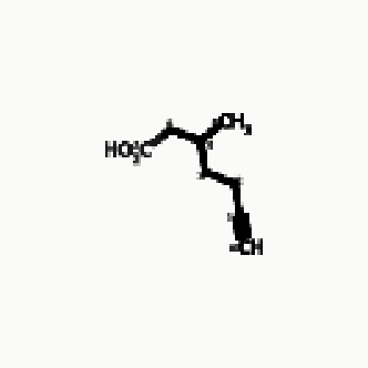 C#CCCC(C)CC(=O)O